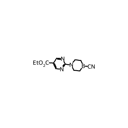 CCOC(=O)c1cnc(N2CCB(C#N)CC2)nc1